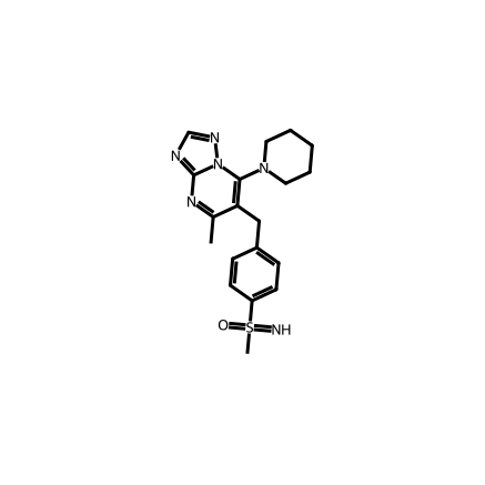 Cc1nc2ncnn2c(N2CCCCC2)c1Cc1ccc(S(C)(=N)=O)cc1